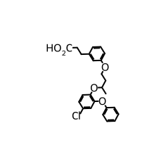 CC(CCOc1cccc(CCC(=O)O)c1)Oc1ccc(Cl)cc1Oc1ccccc1